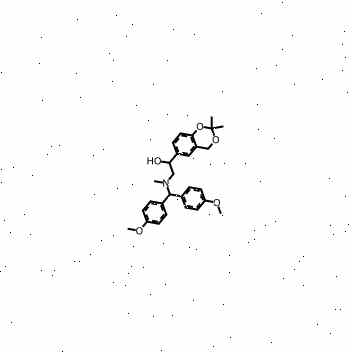 COc1ccc(C(c2ccc(OC)cc2)N(C)CC(O)c2ccc3c(c2)COC(C)(C)O3)cc1